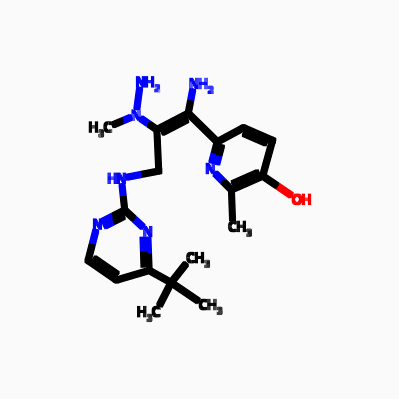 Cc1nc(/C(N)=C(\CNc2nccc(C(C)(C)C)n2)N(C)N)ccc1O